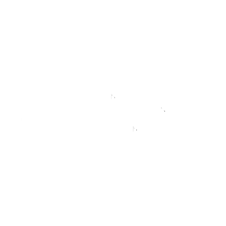 CCC(CC)Nc1nc(OC)c(-c2ccc(Cl)cc2Cl)nc1OC